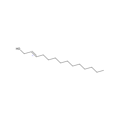 CCCCCCCCCCC/C=C/CO